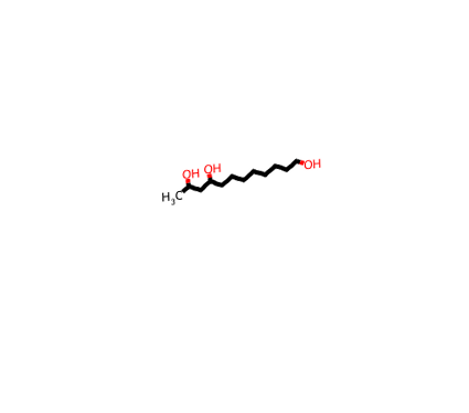 CC(O)CC(O)CCCCCCCCO